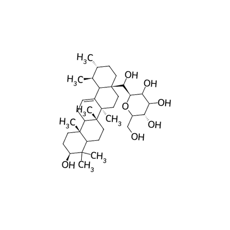 C[C@@H]1CC[C@]2(C(O)[C@@H]3OC(CO)[C@@H](O)C(O)C3O)CC[C@]3(C)C(=CCC4[C@@]5(C)CC[C@H](O)C(C)(C)C5CC[C@]43C)C2[C@H]1C